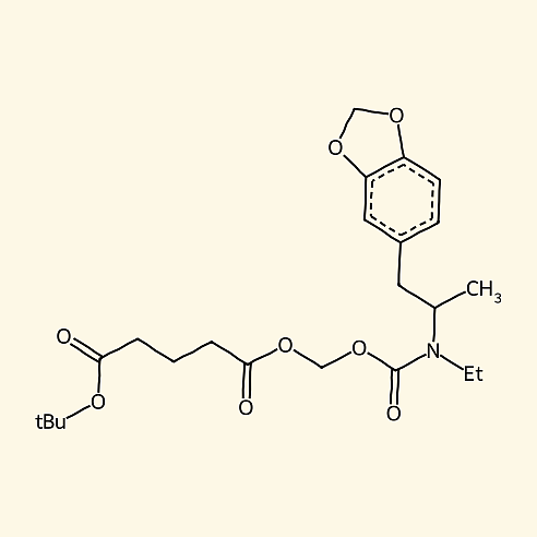 CCN(C(=O)OCOC(=O)CCCC(=O)OC(C)(C)C)C(C)Cc1ccc2c(c1)OCO2